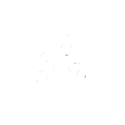 CC1=CC(C)[C](/[Zr+2](=[CH]\c2ccccc2)[CH]2c3cc4c(cc3-c3cc5c(cc32)C(C)(C)C=C5C)C(C)=CC4(C)C)=C1.[Cl-].[Cl-]